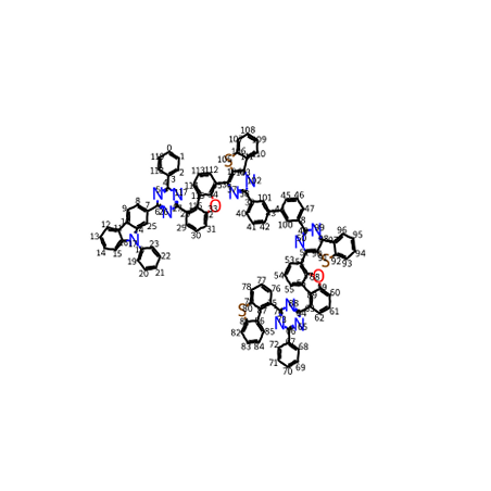 c1ccc(-c2nc(-c3ccc4c5ccccc5n(-c5ccccc5)c4c3)nc(-c3cccc4oc5c(-c6nc(-c7cccc(-c8cccc(-c9nc(-c%10cccc%11c%10oc%10cccc(-c%12nc(-c%13ccccc%13)nc(-c%13cccc%14sc%15ccccc%15c%13%14)n%12)c%10%11)c%10sc%11ccccc%11c%10n9)c8)c7)nc7c6sc6ccccc67)cccc5c34)n2)cc1